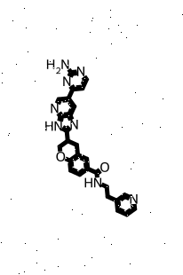 Nc1nccc(-c2cnc3[nH]c(C4COc5ccc(C(=O)NCCc6cccnc6)cc5C4)nc3c2)n1